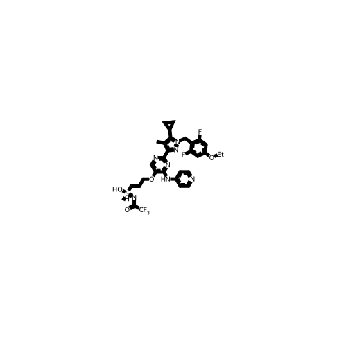 CCOc1cc(F)c(Cn2nc(-c3ncc(OCCC[SH](C)(O)=NC(=O)C(F)(F)F)c(Nc4ccncc4)n3)c(C)c2C2CC2)c(F)c1